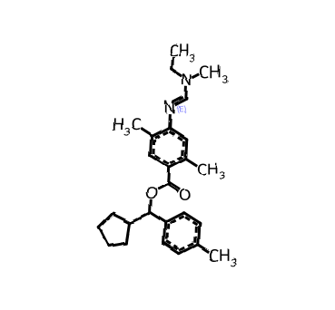 CCN(C)/C=N/c1cc(C)c(C(=O)OC(c2ccc(C)cc2)C2CCCC2)cc1C